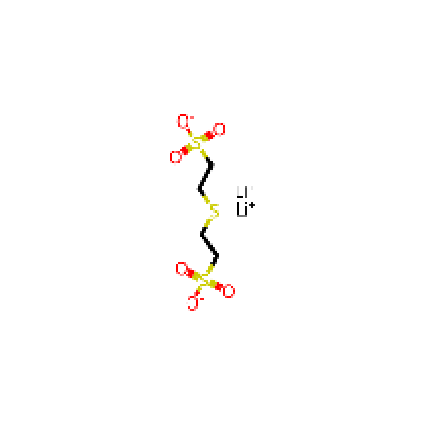 O=S(=O)([O-])CCSCCS(=O)(=O)[O-].[Li+].[Li+]